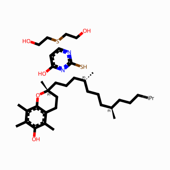 Cc1c(C)c2c(c(C)c1O)CC[C@@](C)(CCC[C@H](C)CCC[C@H](C)CCCC(C)C)O2.OCCSCCO.Oc1ccnc(S)n1